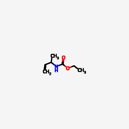 C=CC(C)NC(=O)OCC